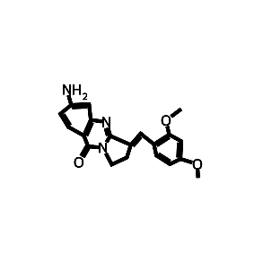 COc1ccc(/C=C2\CCn3c2nc2cc(N)ccc2c3=O)c(OC)c1